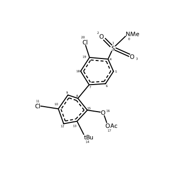 CNS(=O)(=O)c1ccc(-c2cc(Cl)cc(C(C)(C)C)c2OOC(C)=O)cc1Cl